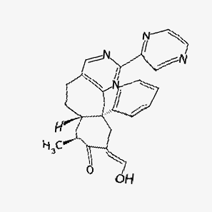 C[C@@H]1C(=O)C(=CO)C[C@]2(c3ccccc3)c3nc(-c4cnccn4)ncc3CC[C@@H]12